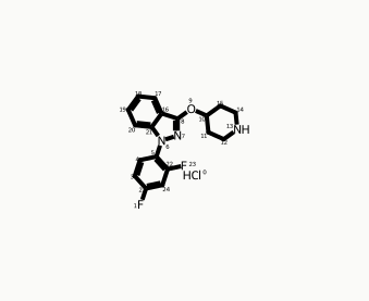 Cl.Fc1ccc(-n2nc(OC3CCNCC3)c3ccccc32)c(F)c1